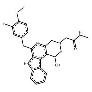 CNC(=O)CN1Cc2nc(Cc3ccc(OC)c(F)c3)c3[nH]c4ccccc4c3c2C(O)C1